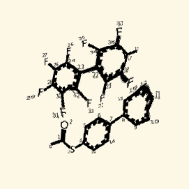 CC(=O)Sc1ccc(-c2ccccc2)cc1.Cc1c(F)c(F)c(-c2c(F)c(F)c(F)c(F)c2F)c(F)c1F